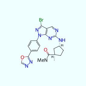 CNC(=O)[C@]1(C)CC[C@@H](Nc2ncc3c(Br)nn(-c4ccc(-c5nnco5)cc4)c3n2)C1